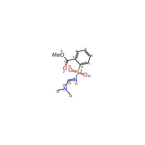 COC(=O)c1ccccc1S(=O)(=O)N=CN(C)C